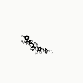 C[C@@](N)(c1cccc(Br)c1)c1csc(C(=O)c2cncnc2N[C@@H]2C[C@H](COS(N)(=O)=O)[C@@H](O)[C@H]2O)c1